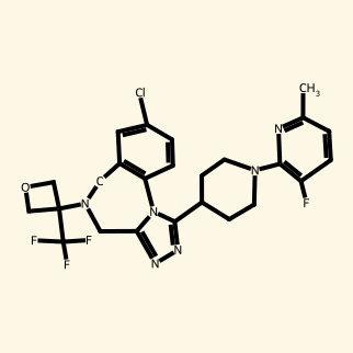 Cc1ccc(F)c(N2CCC(c3nnc4n3-c3ccc(Cl)cc3CN(C3(C(F)(F)F)COC3)C4)CC2)n1